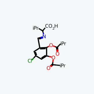 CC(C)C(=O)Oc1cc(Cl)cc(C=NC(C(=O)O)C(C)C)c1OC(=O)C(C)C